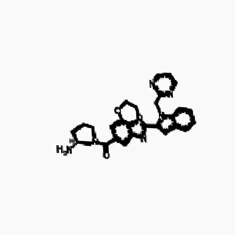 N[C@@H]1CCCN(C(=O)c2cc3c4c(c2)nc(-c2cc5ccccc5n2Cc2ncccn2)n4CCO3)C1